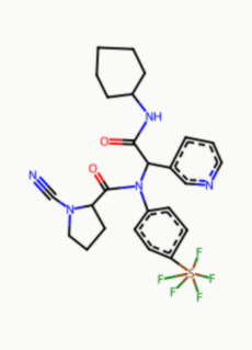 N#CN1CCCC1C(=O)N(c1ccc(S(F)(F)(F)(F)F)cc1)C(C(=O)NC1CCCCC1)c1cccnc1